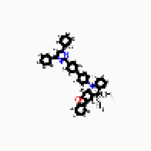 CC1(C)c2ccccc2N(c2ccc(-c3ccc(-c4nc(-c5ccccc5)cc(-c5ccccc5)n4)cc3)cc2)c2cc3oc4ccccc4c3cc21